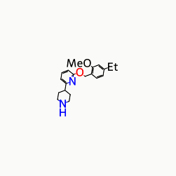 CCc1ccc(COc2cccc(C3CCNCC3)n2)c(OC)c1